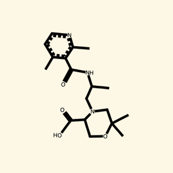 Cc1ccnc(C)c1C(=O)NC(C)CN1CC(C)(C)OCC1C(=O)O